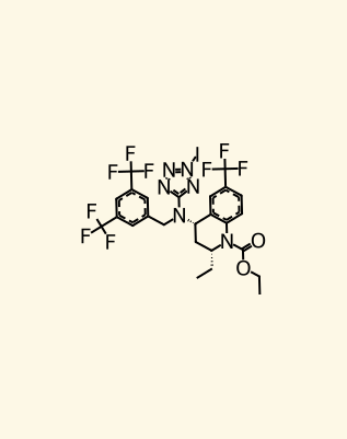 CCOC(=O)N1c2ccc(C(F)(F)F)cc2[C@@H](N(Cc2cc(C(F)(F)F)cc(C(F)(F)F)c2)c2nnn(I)n2)C[C@H]1CC